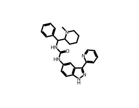 CN1CCCCC1C(NC(=O)Nc1ccc2[nH]nc(-c3ccccn3)c2c1)c1ccccc1